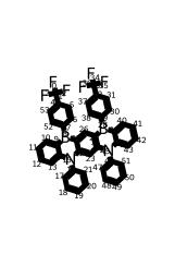 FC(F)(F)c1ccc(B2c3ccccc3N(c3ccccc3)c3cc4c(cc32)B(c2ccc(C(F)(F)F)cc2)c2ccccc2N4c2ccccc2)cc1